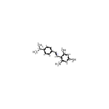 CN(C)c1ccc(/C=N/c2c(N)nc(S)nc2O)cc1